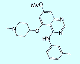 COc1cc(OC2CCN(C)CC2)c2c(Nc3cccc(C)c3)ncnc2c1